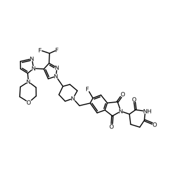 O=C1CCC(N2C(=O)c3cc(F)c(CN4CCC(n5cc(-n6nccc6N6CCOCC6)c(C(F)F)n5)CC4)cc3C2=O)C(=O)N1